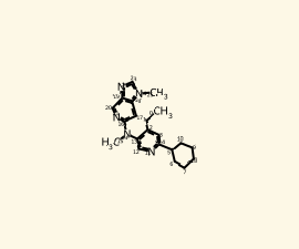 CCc1cc(C2CCCCC2)ncc1N(C)c1cc2c(cn1)ncn2C